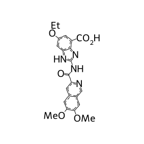 CCOc1cc(C(=O)O)c2nc(NC(=O)c3cc4cc(OC)c(OC)cc4cn3)[nH]c2c1